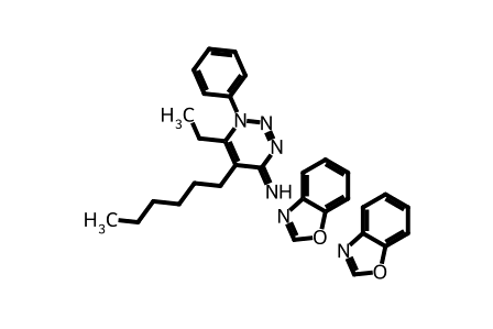 CCCCCCc1c(CC)n(-c2ccccc2)nnc1=N.c1ccc2ocnc2c1.c1ccc2ocnc2c1